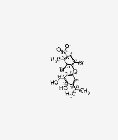 Cc1c([N+](=O)[O-])cc(Br)c(Oc2cc(CO)c(O)c(C(C)C)c2)c1Br